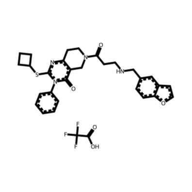 O=C(CCNCc1ccc2occc2c1)N1CCc2nc(SC3CCC3)n(-c3ccccc3)c(=O)c2C1.O=C(O)C(F)(F)F